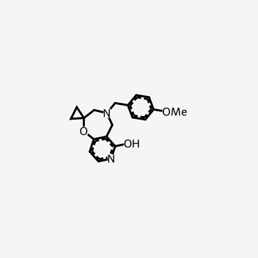 COc1ccc(CN2Cc3c(ccnc3O)OC3(CC3)C2)cc1